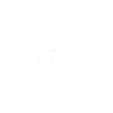 CCCCC[C@H]1O[C@@H]1/C=C/C=O